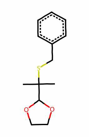 CC(C)(SCc1ccccc1)C1OCCO1